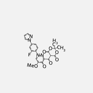 COc1cn(-c2ccc(-n3cccn3)cc2F)nc(C(=O)C2C(=O)OC(C)(C)OC2=O)c1=O